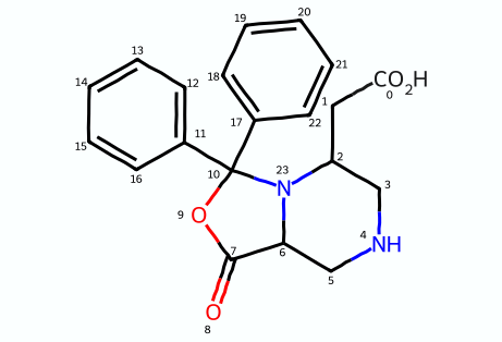 O=C(O)CC1CNCC2C(=O)OC(c3ccccc3)(c3ccccc3)N12